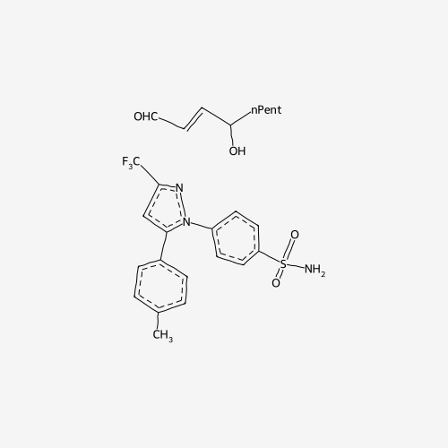 CCCCCC(O)C=CC=O.Cc1ccc(-c2cc(C(F)(F)F)nn2-c2ccc(S(N)(=O)=O)cc2)cc1